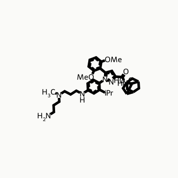 COc1cccc(OC)c1-c1cc(C(=O)NC2(C(=O)O)C3CC4CC(C3)C2C4)nn1-c1ccc(NCCCN(C)CCCN)cc1C(C)C